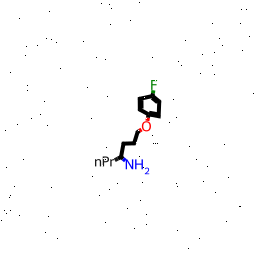 CCCC(N)CCCOc1ccc(F)cc1